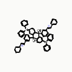 OC1(c2cccc(/C=C/c3ccccc3)c2)c2ccc(N(c3ccccc3)c3ccccc3)cc2C(O)(c2cccc(/C=C/c3ccccc3)c2)c2ccc(N(c3ccccc3)c3ccccc3)cc21